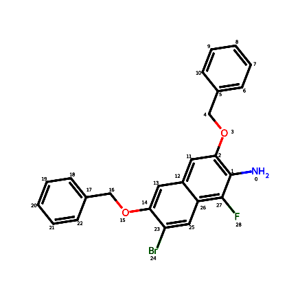 Nc1c(OCc2ccccc2)cc2cc(OCc3ccccc3)c(Br)cc2c1F